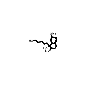 COc1ccc2c(c1)[C@@](C)(CCCCCO)C(C)CC2